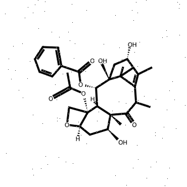 CC(=O)O[C@@]12CO[C@@H]1C[C@H](O)[C@@]1(C)C(=O)C(C)C3=C(C)[C@@H](O)C[C@@](O)([C@@H](OC(=O)c4ccccc4)[C@H]21)C3(C)C